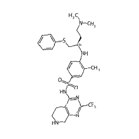 Cc1cc(S(=O)(=O)Nc2nc(C(F)(F)F)nc3c2CCNC3)ccc1N[C@H](CCN(C)C)CSc1ccccc1